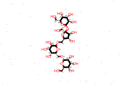 OC[C@H]1O[C@H](OC[C@H]2O[C@H](OC[C@H]3O[C@@](CO)(O[C@H]4O[C@H](CO)[C@@H](O)[C@H](O)[C@H]4O)[C@@H](O)[C@@H]3O)[C@H](O)[C@@H](O)[C@H]2O)[C@H](O)[C@@H](O)[C@H]1O